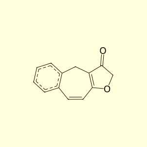 O=C1COC2=C1Cc1ccccc1C=C2